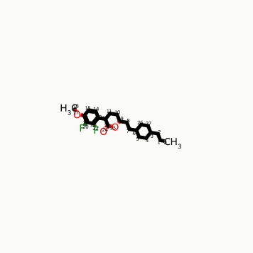 CCCC1CCC(CCC2CCC(c3ccc(OC)c(F)c3F)C(=O)O2)CC1